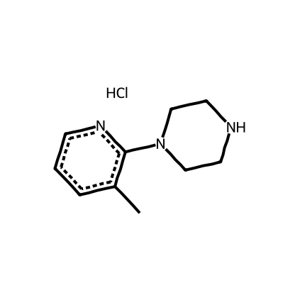 Cc1cccnc1N1CCNCC1.Cl